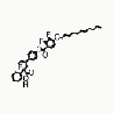 CCCCCCCCCCCOc1ccc(C(=O)Oc2ccc(C(CC)C[C@@](F)(C(=O)O)C3CCCCC3)cc2)c(F)c1F